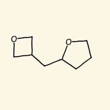 C1CO[C](CC2COC2)C1